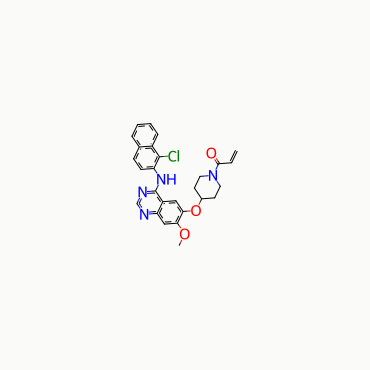 C=CC(=O)N1CCC(Oc2cc3c(Nc4ccc5ccccc5c4Cl)ncnc3cc2OC)CC1